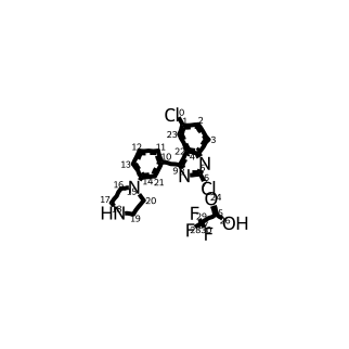 Clc1ccc2nc(Cl)nc(-c3cccc(N4CCNCC4)c3)c2c1.O=C(O)C(F)(F)F